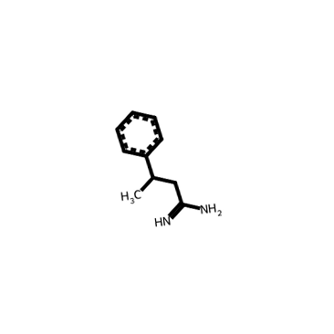 CC(CC(=N)N)c1ccccc1